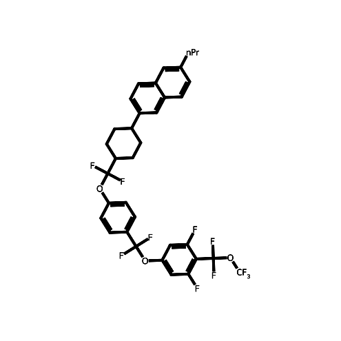 CCCc1ccc2cc(C3CCC(C(F)(F)Oc4ccc(C(F)(F)Oc5cc(F)c(C(F)(F)OC(F)(F)F)c(F)c5)cc4)CC3)ccc2c1